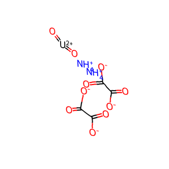 O=C([O-])C(=O)[O-].O=C([O-])C(=O)[O-].[NH4+].[NH4+].[O]=[U+2]=[O]